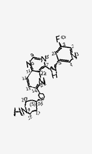 Fc1cncc(Nc2ncnc3ccc(O[C@H]4CCNC4)nc23)c1